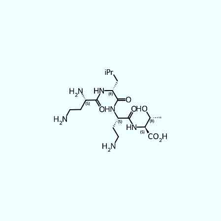 CC(C)C[C@@H](NC(=O)[C@@H](N)CCN)C(=O)N[C@@H](CCN)C(=O)N[C@H](C(=O)O)[C@@H](C)O